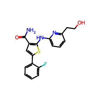 NC(=O)c1cc(-c2ccccc2F)sc1Nc1cccc(CCO)n1